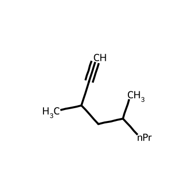 C#CC(C)CC(C)CCC